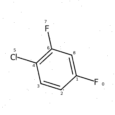 Fc1[c]cc(Cl)c(F)c1